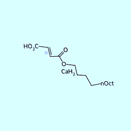 CCCCCCCCCCCCOC(=O)/C=C/C(=O)O.[CaH2]